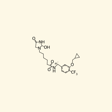 C[C@@H](NS(=O)(=O)CCCCCN1CC(=O)NC1O)c1ccc(C(F)(F)F)c(OCC2CC2)c1